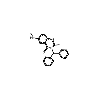 CNc1ccc2nc(C)n(C(c3ccccc3)c3ccccc3)c(=O)c2c1